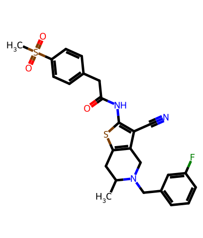 CC1Cc2sc(NC(=O)Cc3ccc(S(C)(=O)=O)cc3)c(C#N)c2CN1Cc1cccc(F)c1